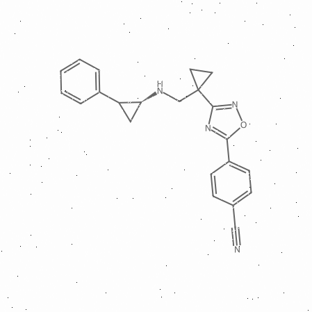 N#Cc1ccc(-c2nc(C3(CN[C@H]4CC4c4ccccc4)CC3)no2)cc1